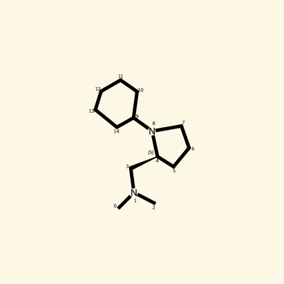 CN(C)C[C@@H]1CCCN1C1CCCCC1